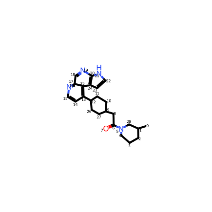 CC1CCCN(C(=O)CC2CCC(c3ccnc4cnc5[nH]ccc5c34)CC2)C1